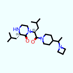 CC(C)C[C@@H]1NCCN([C@@H](CC(C)C)C(=O)N2CCC(C(C)N3CCC3)CC2)C1=O